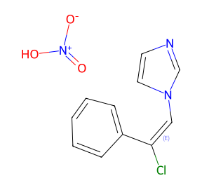 Cl/C(=C/n1ccnc1)c1ccccc1.O=[N+]([O-])O